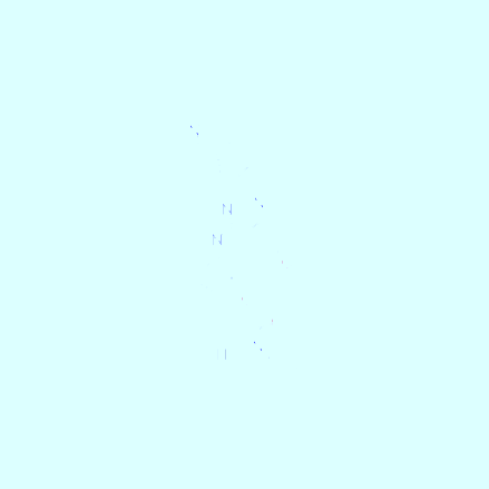 CN(C)C(=O)COc1ccc2c(c1)N(c1nc(-c3ccc4ccncc4c3)nc3c1C[S+]([O-])C3)CC2